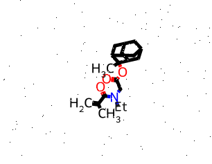 C=C(C)C(=O)N(CC)CC(=O)OC1(C)C2CC3CC(C2)CC1C3